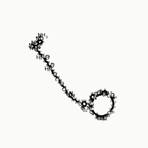 CO[C@H]1C[C@@H]2CC[C@@H](C)[C@@](O)(O2)C(=O)C(=O)N2CCCC[C@H]2C(=O)O[C@H]([C@H](N)C[C@@H]2CC[C@@H](OCCCCc3cn(CCOCCOCCOCCOCCNC(=O)CCCC(=O)NCCCCn4nc(-c5ccc6oc(N)nc6c5)c5c(N)ncnc54)nn3)[C@H](OC)C2)CC(=O)[C@H](C)/C=C(\C)[C@@H](O)[C@@H](OC)C(=O)[C@H](C)C[C@H](C)/C=C/C=C/C=C/1C